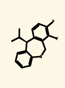 CC(C)[C@@H]1c2ccccc2SCc2c1ccc(F)c2F